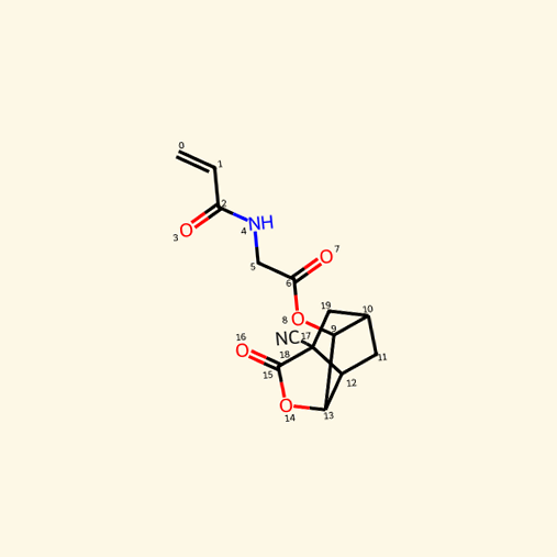 C=CC(=O)NCC(=O)OC1C2CC3C1OC(=O)C3(C#N)C2